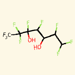 OC(C(F)C(F)F)C(F)C(O)(F)C(F)(F)C(F)(F)F